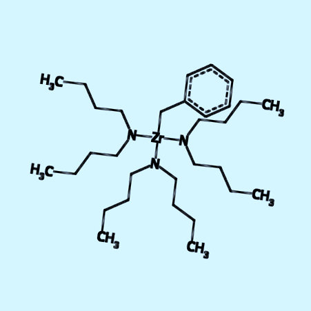 CCCC[N](CCCC)[Zr]([CH2]c1ccccc1)([N](CCCC)CCCC)[N](CCCC)CCCC